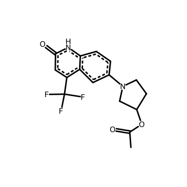 CC(=O)OC1CCN(c2ccc3[nH]c(=O)cc(C(F)(F)F)c3c2)C1